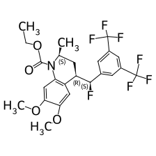 CCOC(=O)N1c2cc(OC)c(OC)cc2[C@H]([C@H](F)c2cc(C(F)(F)F)cc(C(F)(F)F)c2)C[C@@H]1C